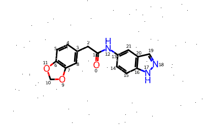 O=C(Cc1ccc2c(c1)OCO2)Nc1ccc2[nH]ncc2c1